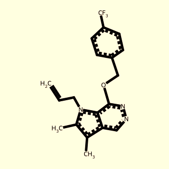 C=CCn1c(C)c(C)c2cnnc(OCc3ccc(C(F)(F)F)cc3)c21